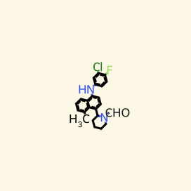 Cc1cccc2c(Nc3ccc(F)c(Cl)c3)ccc(C3CCCCN3C=O)c12